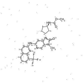 COC(=O)N[C@@H]1CC[C@@H](n2c(=O)n(C)c3cnc(Nc4ccc5cccc(C(F)(F)F)c5n4)cc32)C1